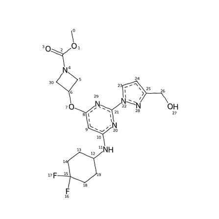 COC(=O)N1CC(Oc2cc(NC3CCC(F)(F)CC3)nc(-n3ccc(CO)n3)n2)C1